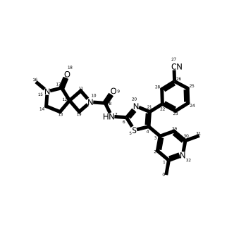 Cc1cc(-c2sc(NC(=O)N3CC4(CCN(C)C4=O)C3)nc2-c2cccc(C#N)c2)cc(C)n1